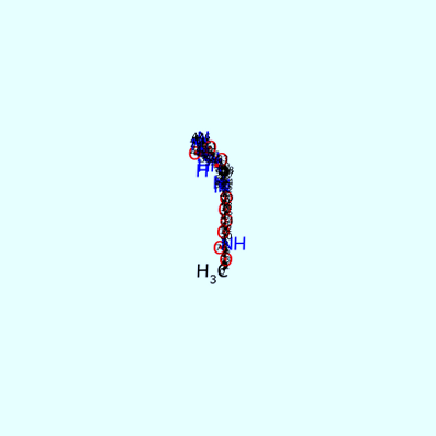 CCCOCCC(=O)NCCOCCOCCOCCOCCn1cc(-c2cccc(NC(=O)N3CCC4(CC3)NC(=O)N(c3cnccn3)C4=O)c2)nn1